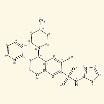 O=S(=O)(Nc1nccs1)c1cc2c(cc1F)[C@H](N1CCC(C(F)(F)F)C[C@H]1c1cccnc1)CCO2